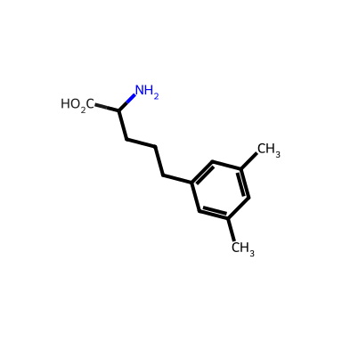 Cc1cc(C)cc(CCCC(N)C(=O)O)c1